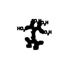 Cc1cc(C(C)(C)c2ccc(OCc3cc(OCc4cc(OCc5ccc(S(=O)(=O)O)cc5)cc(OCc5ccc(S(=O)(=O)O)cc5)c4)cc(OCc4cc(OCc5ccc(S(=O)(=O)O)cc5)cc(OCc5ccc(S(=O)(=O)O)cc5)c4)c3)c(C)c2)ccc1OCc1cc(OCc2cc(OCc3ccccc3)cc(OCc3ccccc3)c2)cc(OCc2cc(OCc3ccccc3)cc(OCc3ccccc3)c2)c1